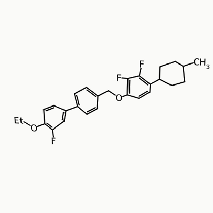 CCOc1ccc(-c2ccc(COc3ccc(C4CCC(C)CC4)c(F)c3F)cc2)cc1F